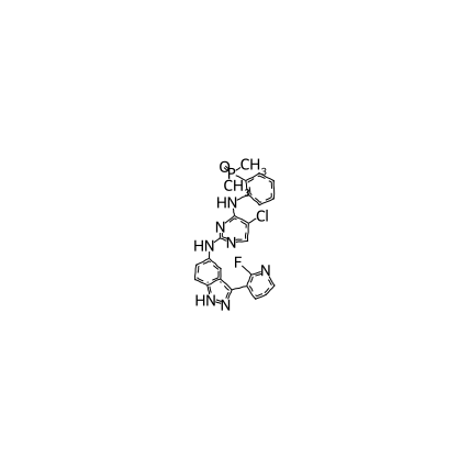 CP(C)(=O)c1ccccc1Nc1nc(Nc2ccc3[nH]nc(-c4cccnc4F)c3c2)ncc1Cl